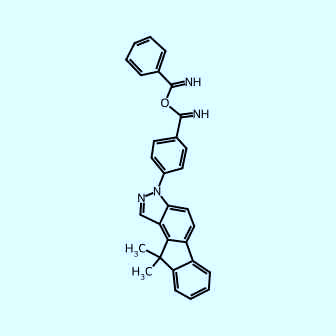 CC1(C)c2ccccc2-c2ccc3c(cnn3-c3ccc(C(=N)OC(=N)c4ccccc4)cc3)c21